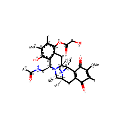 COC1=C(C)C(=O)C2=C(C1=O)[C@@H]1[C@@H]3Cc4c(OC(=O)CO)c(C)c(OC)c(O)c4[C@H](CNC(=O)C(C)=O)N3[C@@H](C#N)[C@H](C2)N1C